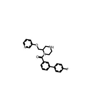 O=C(c1cccc(-c2ccc(F)cc2)c1)N1CCNCC1COc1cccnc1